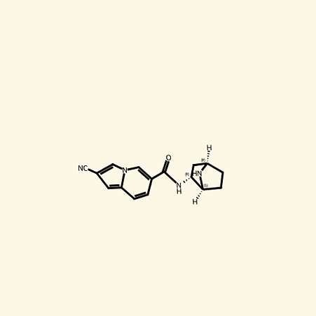 N#Cc1cc2ccc(C(=O)N[C@@H]3C[C@H]4CC[C@@H]3N4)cn2c1